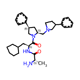 C[C@H](N)C(=O)N[C@@H](CC1CCCCC1)C(=O)N1C[C@@H](c2ccccc2)C[C@H]1CN1CCC(c2ccccc2)C1